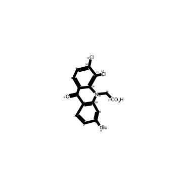 CC(C)(C)c1ccc2c(=O)c3ccc(Cl)c(Cl)c3n(CC(=O)O)c2c1